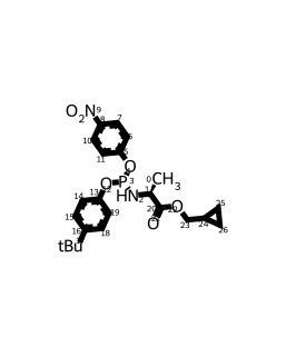 C[C@H](NP(Oc1ccc([N+](=O)[O-])cc1)Oc1ccc(C(C)(C)C)cc1)C(=O)OCC1CC1